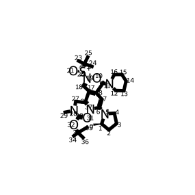 C[C@@H]1CCCN1c1cc(C(=O)N2CCCCC2)c(/C=N/[S@@+]([O-])C(C)(C)C)c(CN(C)C(=O)OC(C)(C)C)n1